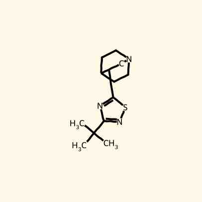 CC(C)(C)c1nsc(C2CN3CCC2CC3)n1